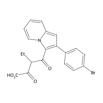 CCC(C(=O)C(=O)O)C(=O)c1c(-c2ccc(Br)cc2)cc2ccccn12